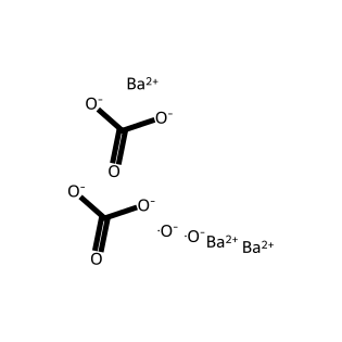 O=C([O-])[O-].O=C([O-])[O-].[Ba+2].[Ba+2].[Ba+2].[O-].[O-]